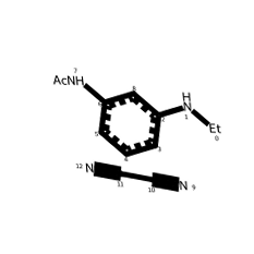 CCNc1cccc(NC(C)=O)c1.N#CC#N